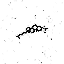 CC(=O)OC1CCC2(C)C(=CCC3C2CCC2(C)C(CCCCC(C)C)CCC32)C1